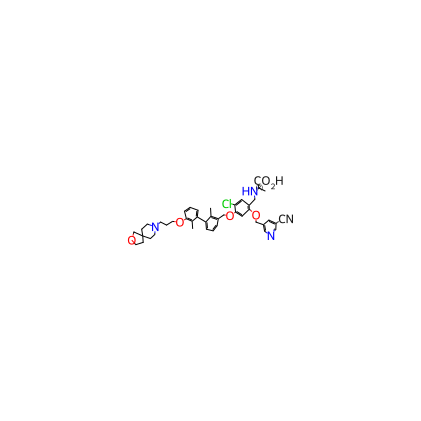 Cc1c(COc2cc(OCc3cncc(C#N)c3)c(CN[C@H](C)C(=O)O)cc2Cl)cccc1-c1cccc(OCCCN2CCC3(CCOC3)CC2)c1C